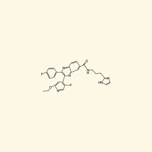 CCOc1cc(-c2nc3cc(C(=O)NCCCc4ncc[nH]4)ccc3nc2-c2ccc(F)cc2)c(F)cn1